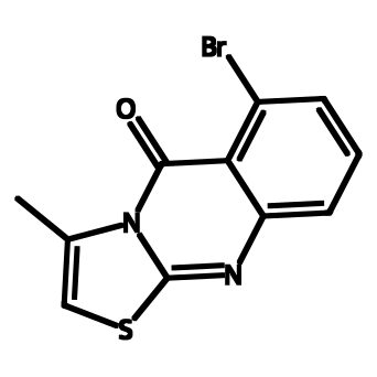 Cc1csc2nc3cccc(Br)c3c(=O)n12